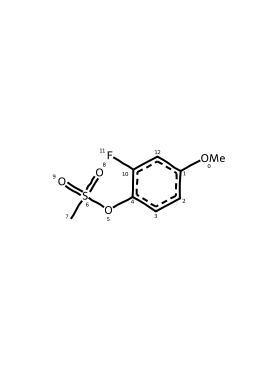 COc1ccc(OS(C)(=O)=O)c(F)c1